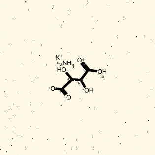 N.O=C([O-])C(O)C(O)C(=O)O.[K+]